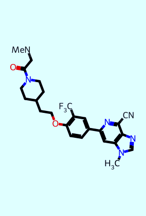 CNCC(=O)N1CCC(CCOc2ccc(-c3cc4c(ncn4C)c(C#N)n3)cc2C(F)(F)F)CC1